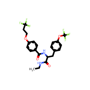 CCNC(=O)C(Cc1ccc(OC(F)(F)F)cc1)NC(=O)c1ccc(OCCC(F)(F)F)cc1